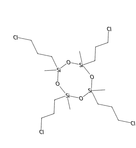 C[Si]1(CCCCl)O[Si](C)(CCCCl)O[Si](C)(CCCCl)O[Si](C)(CCCCl)O1